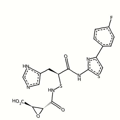 O=C(Nc1nc(-c2ccc(F)cc2)cs1)[C@H](Cc1cnc[nH]1)SNC(=O)[C@@H]1O[C@H]1C(=O)O